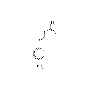 NC(=O)CC=Cc1ccc(N)cc1